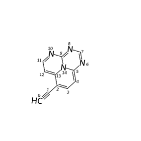 C#CC1=CC=C2N=CN=C3N=CC=C1N23